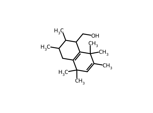 CC1=CC(C)(C)C2=C(C(CO)C(C)C(C)C2)C1(C)C